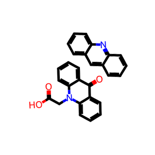 O=C(O)Cn1c2ccccc2c(=O)c2ccccc21.c1ccc2nc3ccccc3cc2c1